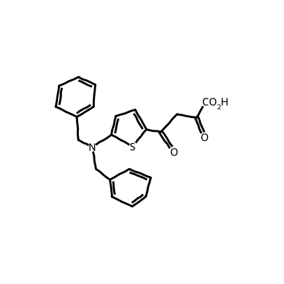 O=C(O)C(=O)CC(=O)c1ccc(N(Cc2ccccc2)Cc2ccccc2)s1